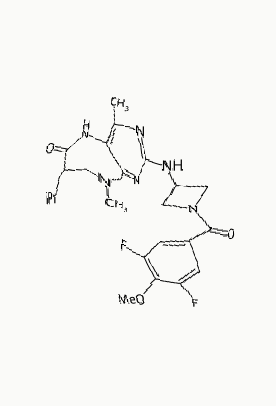 COc1c(F)cc(C(=O)N2CC(Nc3nc(C)c4c(n3)N(C)C(C(C)C)C(=O)N4)C2)cc1F